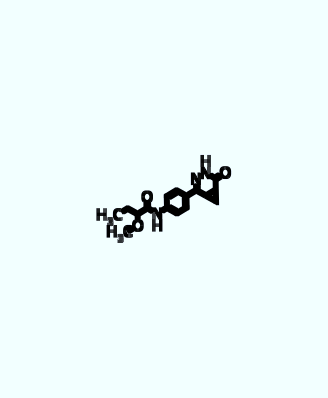 CCC(OC)C(=O)Nc1ccc(C2=NNC(=O)C3CC23)cc1